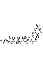 Cc1ccc(O[C@H]2CC[C@@H](c3cc(NC(=O)Cc4cc(C)no4)n[nH]3)C2)cn1